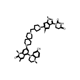 Cc1cc2c(N3CCN(C)c4ccc(C#N)cc43)cc(N3CCC4(CCN(CC5CCN(c6cc7c(cc6F)c(N6CCC(=O)NC6=O)nn7C)CC5)CC4)CC3)cc2n(C)c1=O